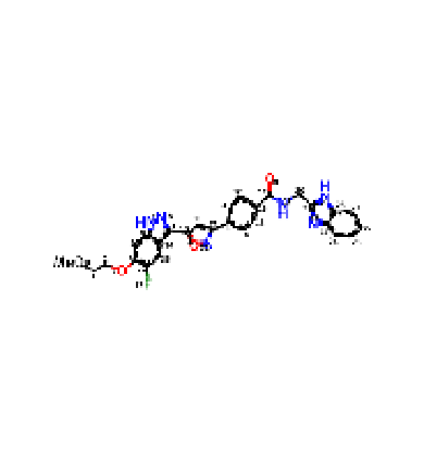 COCCOc1cc2[nH]nc(-c3cc(-c4ccc(C(=O)NCc5nc6ccccc6[nH]5)cc4)no3)c2cc1F